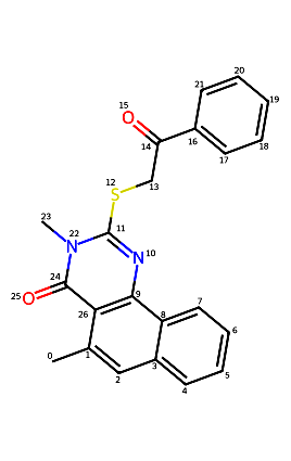 Cc1cc2ccccc2c2nc(SCC(=O)c3ccccc3)n(C)c(=O)c12